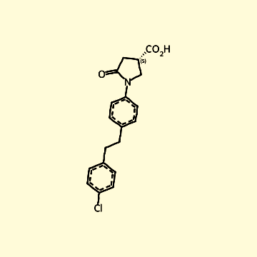 O=C(O)[C@H]1CC(=O)N(c2ccc(CCc3ccc(Cl)cc3)cc2)C1